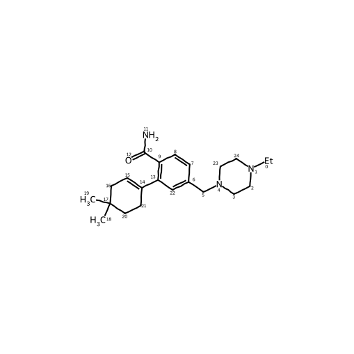 CCN1CCN(Cc2ccc(C(N)=O)c(C3=CCC(C)(C)CC3)c2)CC1